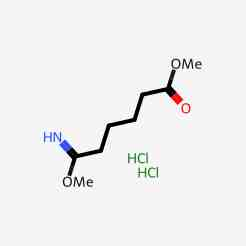 COC(=N)CCCCC(=O)OC.Cl.Cl